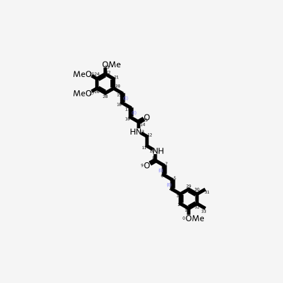 COc1cc(/C=C/C=C/C(=O)NCCNC(=O)/C=C/C=C/c2cc(OC)c(OC)c(OC)c2)cc(C)c1C